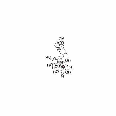 C=C1CC2CCC3[C@](C)(C(=O)O)CCC[C@@]3(C)[C@@H]2CCC1CC(OC1OC(CO)C(O)C(O)C1O)C(OC1OC(CO)C(O)C(O)C1O)C(O)C(O)CO